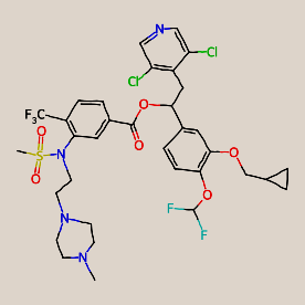 CN1CCN(CCN(c2cc(C(=O)OC(Cc3c(Cl)cncc3Cl)c3ccc(OC(F)F)c(OCC4CC4)c3)ccc2C(F)(F)F)S(C)(=O)=O)CC1